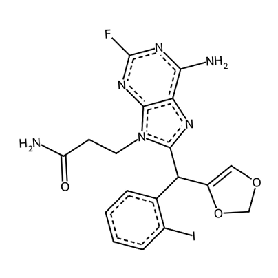 NC(=O)CCn1c(C(C2=COCO2)c2ccccc2I)nc2c(N)nc(F)nc21